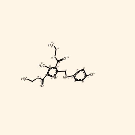 CCOC(=O)c1[nH]c(CNc2ccc(Cl)cc2)c(C(=O)OCC)c1C